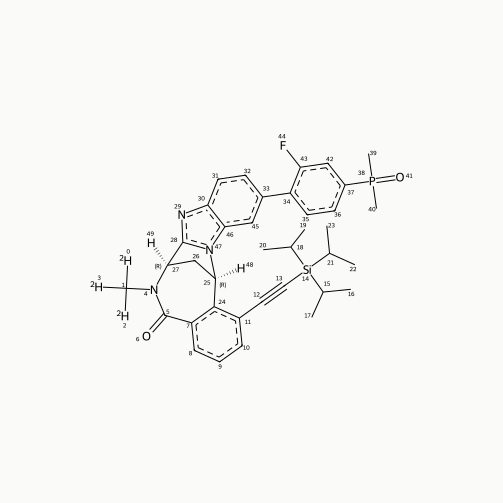 [2H]C([2H])([2H])N1C(=O)c2cccc(C#C[Si](C(C)C)(C(C)C)C(C)C)c2[C@H]2C[C@@H]1c1nc3ccc(-c4ccc(P(C)(C)=O)cc4F)cc3n12